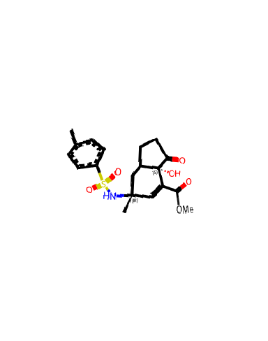 COC(=O)C1=C[C@](C)(NS(=O)(=O)c2ccc(C)cc2)CC2CCC(=O)[C@@]12O